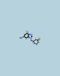 N#Cc1cc(Cl)c2ncn(CC3CCCC(=O)C3)c2c1